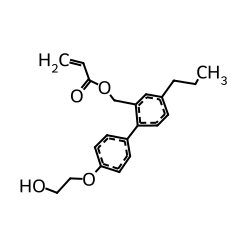 C=CC(=O)OCc1cc(CCC)ccc1-c1ccc(OCCO)cc1